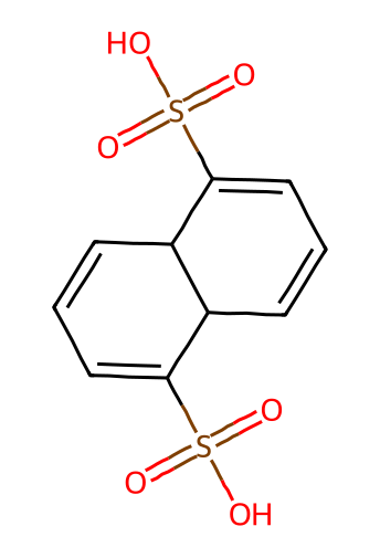 O=S(=O)(O)C1=CC=CC2C(S(=O)(=O)O)=CC=CC12